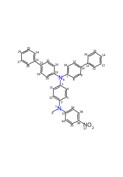 CN(c1ccc(N(c2ccc(-c3ccccc3)cc2)c2ccc(-c3ccccc3)cc2)cc1)c1ccc([N+](=O)[O-])cc1